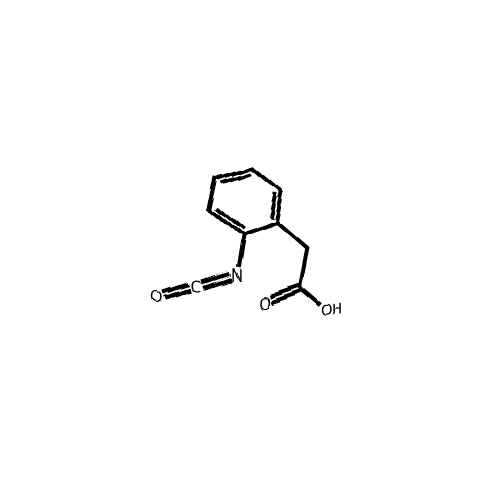 O=C=Nc1ccccc1CC(=O)O